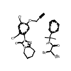 C#CCOc1cc(-n2nc3n(c2=O)CCCC3)c(Cl)cc1Cl.CC(C)(NC(=O)C(Br)C(C)(C)C)c1ccccc1